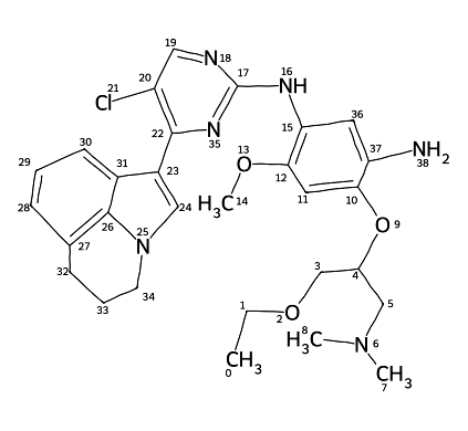 CCOCC(CN(C)C)Oc1cc(OC)c(Nc2ncc(Cl)c(-c3cn4c5c(cccc35)CCC4)n2)cc1N